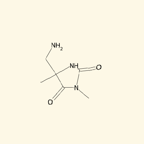 CN1C(=O)NC(C)(CN)C1=O